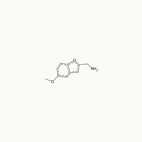 [CH2]Oc1ccc2oc(CN)cc2c1